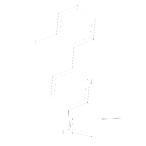 Fc1cccc(F)c1-c1ccc2[nH]cc(I)c2n1